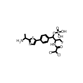 CC(N)c1ncc(-c2ccc(C(OP(=O)(O)O)C(CF)NC(=O)C(Cl)Cl)cc2)s1